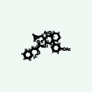 CC(=O)Oc1cccc(C23CCCCC2(OC(C)=O)C[N@@+](C)(CC2CC2)[C@H](NC(=O)C(=Cc2ccccc2)OC(F)(F)F)C3)c1